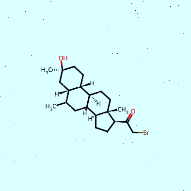 CC1C[C@@H]2[C@H](CC[C@]3(C)[C@@H](C(=O)CBr)CC[C@@H]23)[C@H]2CC[C@](C)(O)C[C@@H]12